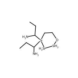 CCC(N)[Si]1(C(N)CC)CCO[SiH2][SiH2]1